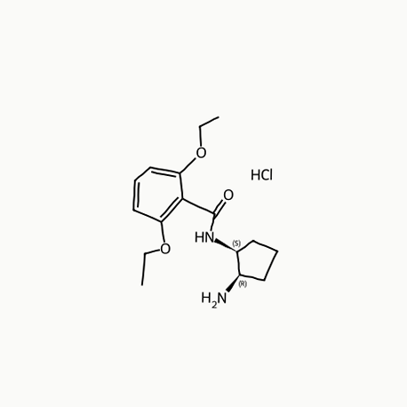 CCOc1cccc(OCC)c1C(=O)N[C@H]1CCC[C@H]1N.Cl